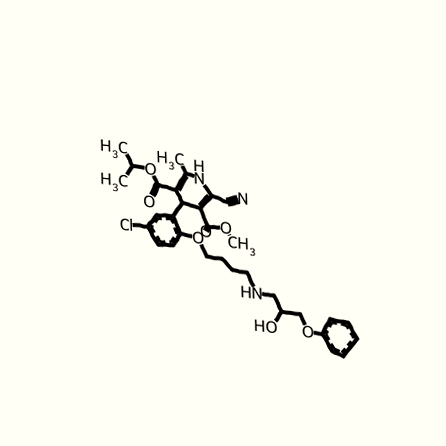 COC(=O)C1=C(C#N)NC(C)=C(C(=O)OC(C)C)C1c1cc(Cl)ccc1OCCCCNCC(O)COc1ccccc1